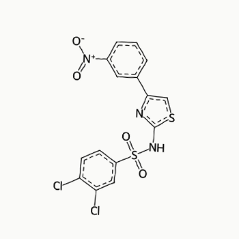 O=[N+]([O-])c1cccc(-c2csc(NS(=O)(=O)c3ccc(Cl)c(Cl)c3)n2)c1